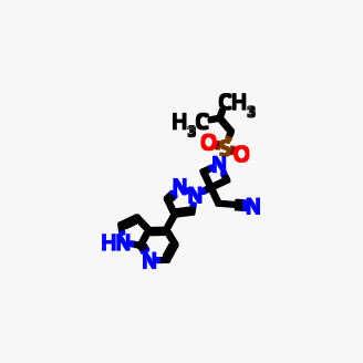 CC(C)CS(=O)(=O)N1CC(CC#N)(n2cc(-c3ccnc4[nH]ccc34)cn2)C1